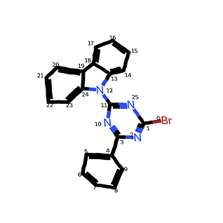 Brc1nc(-c2ccccc2)nc(-n2c3ccccc3c3ccccc32)n1